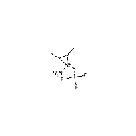 CC1C(C)[N+]1(N)CC(F)(F)F